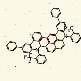 Cc1ccccc1N(C1=C2C=CC3=C4C(=CC=C(C=C1)C24)C(N(c1ccc(-c2ccccc2)cc1-c1ccccc1)c1ccccc1C(F)(F)F)C=C3)c1ccc(-c2ccccc2)cc1-c1ccccc1